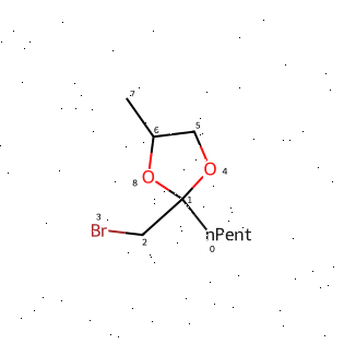 CCCCCC1(CBr)OCC(C)O1